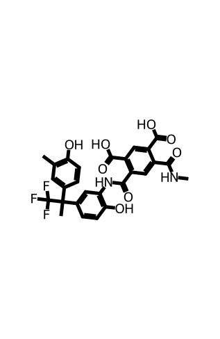 CNC(=O)c1cc(C(=O)Nc2cc(C(C)(c3ccc(O)c(C)c3)C(F)(F)F)ccc2O)c(C(=O)O)cc1C(=O)O